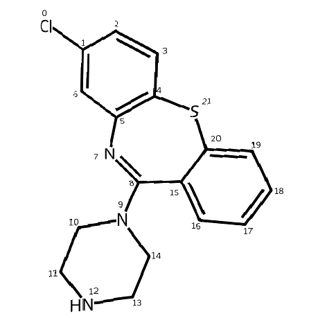 Clc1ccc2c(c1)N=C(N1CCNCC1)c1ccccc1S2